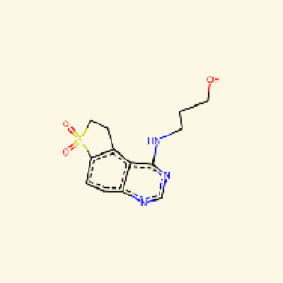 O=S1(=O)CCc2c1ccc1ncnc(NCCCO)c21